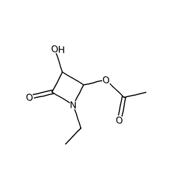 CCN1C(=O)C(O)C1OC(C)=O